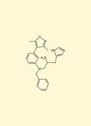 Cc1noc(C)c1-c1cccc(N(Cc2ccccc2)CC(N)Cc2cnc[nH]2)c1